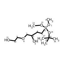 CO[Si](CCC(O)COCCO)(OC)OC(C)(C)C